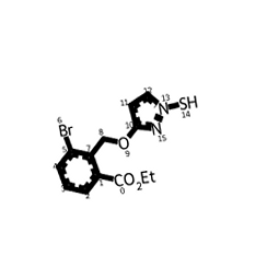 CCOC(=O)c1cccc(Br)c1COc1ccn(S)n1